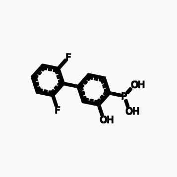 Oc1cc(-c2c(F)cccc2F)ccc1P(O)O